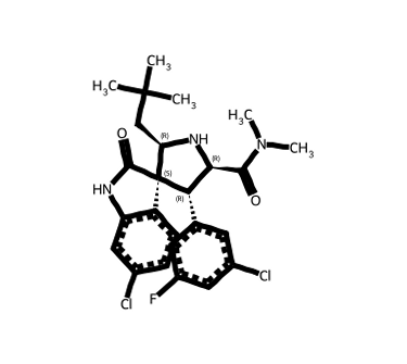 CN(C)C(=O)[C@@H]1N[C@H](CC(C)(C)C)[C@]2(C(=O)Nc3cc(Cl)ccc32)[C@H]1c1cc(F)cc(Cl)c1